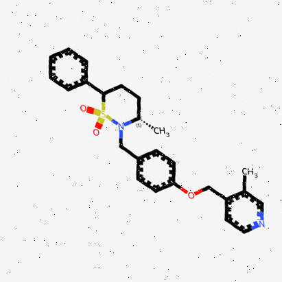 Cc1cnccc1COc1ccc(CN2[C@@H](C)CCC(c3ccccc3)S2(=O)=O)cc1